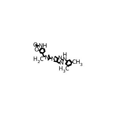 C=C(c1ccc2[nH]c(=O)oc2c1)N1CC(N2Cc3cnc(Nc4cc(C)cc(C)c4)nc3C2)C1